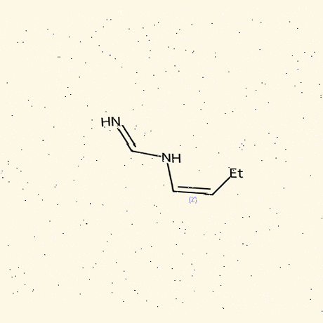 CC/C=C\NC=N